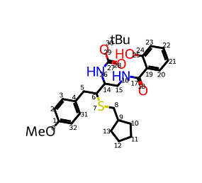 COc1ccc(CC(SCC2CCCC2)C(CNC(=O)c2ccccc2O)NC(=O)OC(C)(C)C)cc1